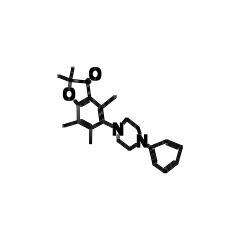 Cc1c(C)c(N2CCN(c3ccccc3)CC2)c(C)c2c1OC(C)(C)C2=O